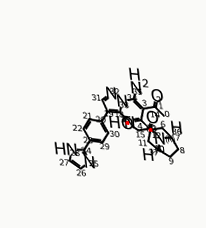 CC(=O)c1c([C@H]2C[C@H]3CC[C@@H](C2)N3C(=O)CO)nc2c(-c3ccc(-c4ncc[nH]4)cc3)cnn2c1N